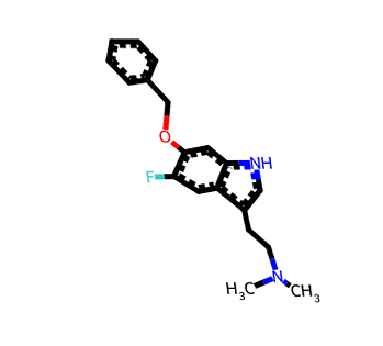 CN(C)CCc1c[nH]c2cc(OCc3ccccc3)c(F)cc12